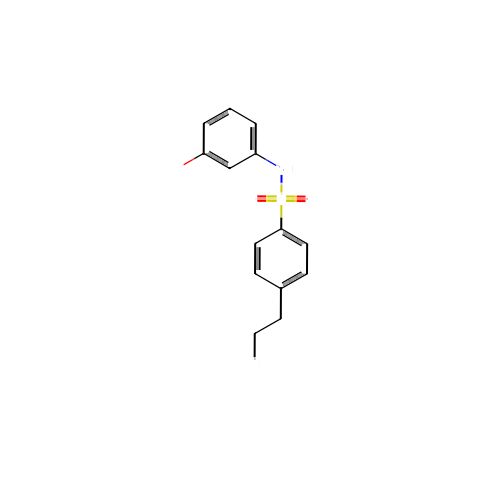 CCCc1ccc(S(=O)(=O)Nc2cccc(O)c2)cc1